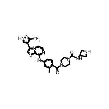 Cc1cc(Nc2nccn3c(-c4c[nH]nc4C(F)(F)F)cnc23)ccc1C(=O)N1CCN(C(=O)NC2CNC2)CC1